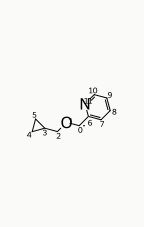 [CH](OCC1CC1)c1ccccn1